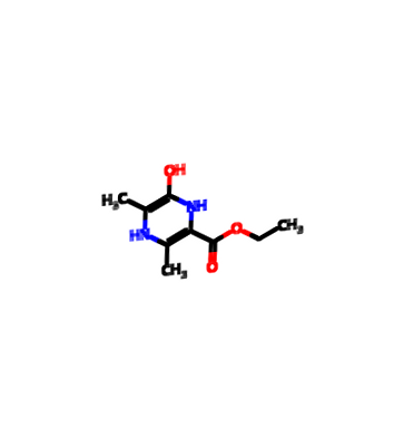 CCOC(=O)C1=C(C)NC(C)=C(O)N1